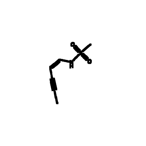 CC#C/C=C\NS(C)(=O)=O